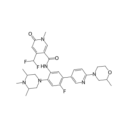 CC1CN(c2ccc(-c3cc(NC(=O)c4cn(C)c(=O)cc4C(F)F)c(N4CC(C)N(C)C(C)C4)cc3F)cn2)CCO1